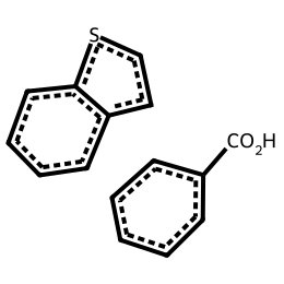 O=C(O)c1ccccc1.c1ccc2sccc2c1